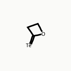 [Te]=C1CCO1